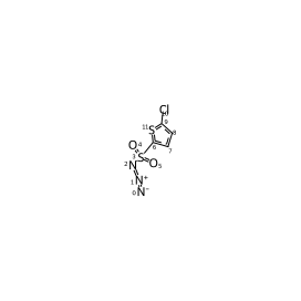 [N-]=[N+]=NS(=O)(=O)c1ccc(Cl)s1